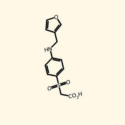 O=C(O)CS(=O)(=O)c1ccc(NCc2ccoc2)cc1